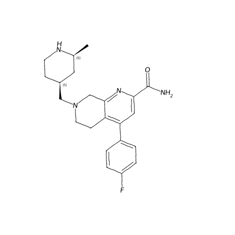 C[C@H]1C[C@@H](CN2CCc3c(-c4ccc(F)cc4)cc(C(N)=O)nc3C2)CCN1